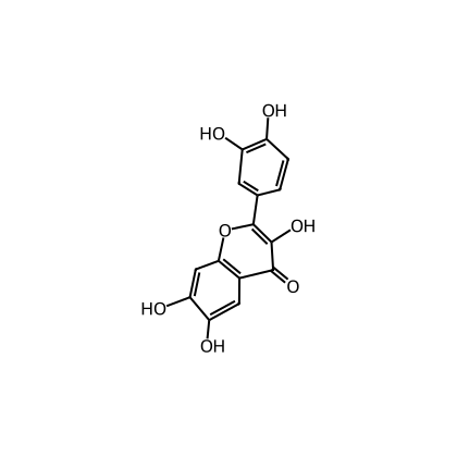 O=c1c(O)c(-c2ccc(O)c(O)c2)oc2cc(O)c(O)cc12